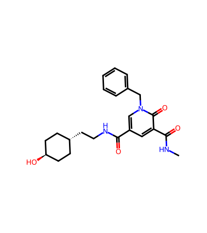 CNC(=O)c1cc(C(=O)NCC[C@H]2CC[C@H](O)CC2)cn(Cc2ccccc2)c1=O